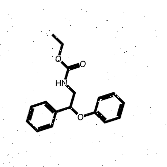 CCOC(=O)NCC(Oc1ccccc1)c1ccccc1